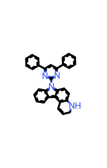 C1=Cc2c(ccc3c2c2ccccc2n3-c2nc(-c3ccccc3)cc(-c3ccccc3)n2)NC1